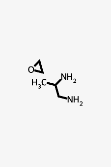 C1CO1.CC(N)CN